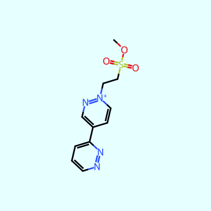 COS(=O)(=O)CC[n+]1ccc(-c2cccnn2)cn1